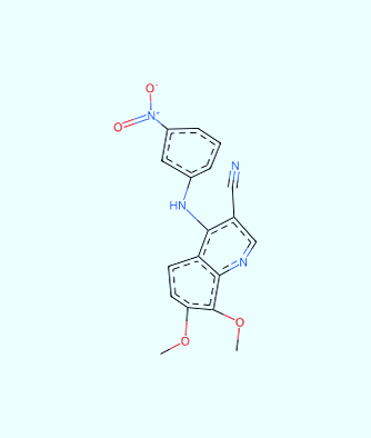 COc1ccc2c(Nc3cccc([N+](=O)[O-])c3)c(C#N)cnc2c1OC